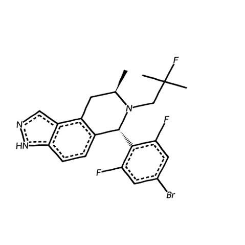 C[C@@H]1Cc2c(ccc3[nH]ncc23)[C@@H](c2c(F)cc(Br)cc2F)N1CC(C)(C)F